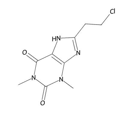 Cn1c(=O)c2[nH]c(CCCl)nc2n(C)c1=O